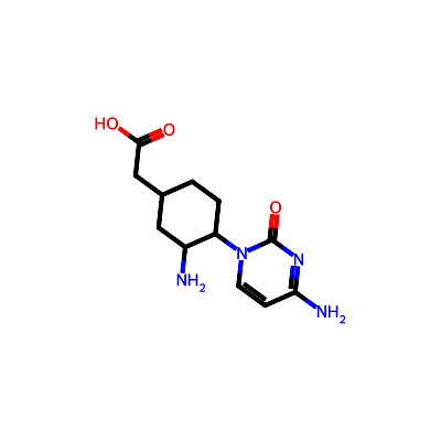 Nc1ccn(C2CCC(CC(=O)O)CC2N)c(=O)n1